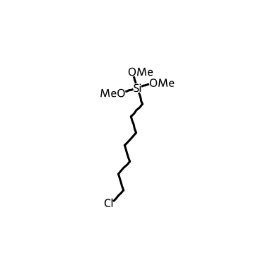 CO[Si](CCCCCCCCl)(OC)OC